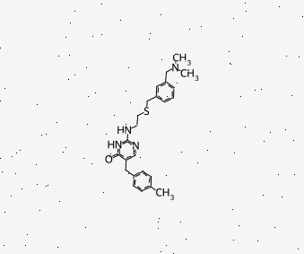 Cc1ccc(Cc2cnc(NCCSCc3cccc(CN(C)C)c3)[nH]c2=O)cc1